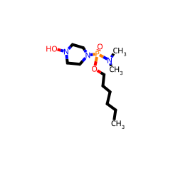 CCCCCCOP(=O)(N(C)C)N1CCN(O)CC1